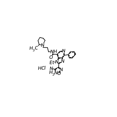 CCn1c(-c2nonc2N)nc2c(-c3ccccc3)ncc(C(=O)NCCCN3CCCCC3C)c21.Cl